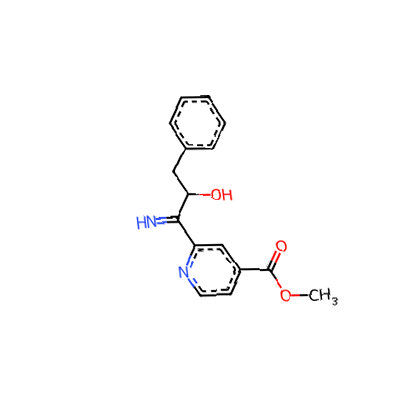 COC(=O)c1ccnc(C(=N)C(O)Cc2ccccc2)c1